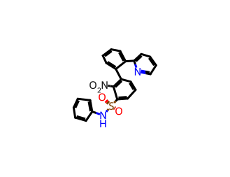 O=[N+]([O-])c1c(-c2ccccc2-c2ccccn2)cccc1S(=O)(=O)Nc1ccccc1